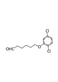 O=[C]CCCCCOc1cc(Cl)ccc1Cl